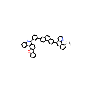 Cc1cccc2cc(-c3ccc4c(ccc5cc(-c6cccc(-c7nc8ccccc8c8c7ccc7c9ccccc9oc78)c6)ccc54)c3)c3cccnc3c12